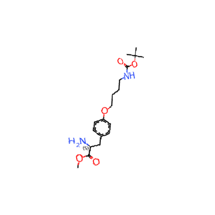 COC(=O)[C@@H](N)Cc1ccc(OCCCCNC(=O)OC(C)(C)C)cc1